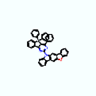 c1ccc(-c2nc(-n3c4ccccc4c4cc5oc6ccccc6c5cc43)nc3c2[Si](c2ccccc2)(c2ccccc2)c2ccccc2-3)cc1